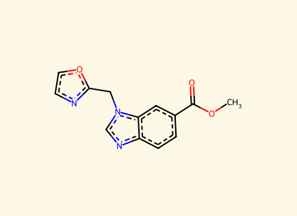 COC(=O)c1ccc2ncn(Cc3ncco3)c2c1